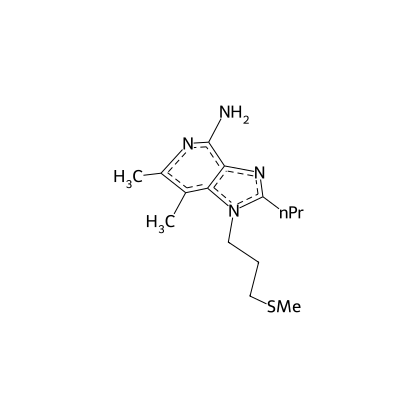 CCCc1nc2c(N)nc(C)c(C)c2n1CCCSC